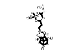 CCCCOC(=O)C[C@H](CCB1O[C@@H]2C[C@@H]3C[C@@H](C3(C)C)[C@]2(C)O1)O[Si](C)(C)C(C)(C)C